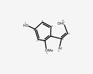 COc1cc(O)ccc1/C(=C\C=O)C(C)=O